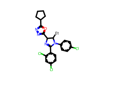 CCC1C(c2nnc(C3CCCC3)o2)N=C(c2ccc(Cl)cc2Cl)N1c1ccc(Cl)cc1